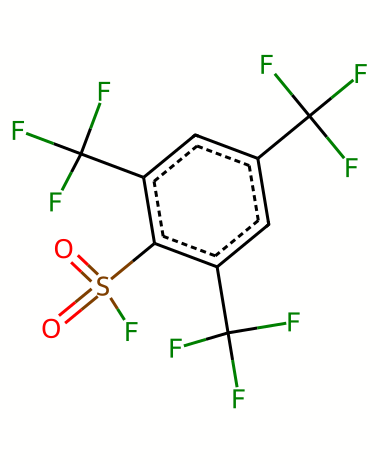 O=S(=O)(F)c1c(C(F)(F)F)cc(C(F)(F)F)cc1C(F)(F)F